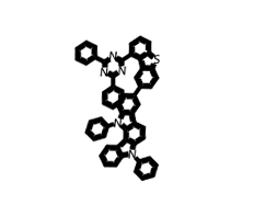 c1ccc(-c2nc(-c3ccccc3)nc(-c3cccc4sc5ccc(-c6ccc7c(c6)c6ccc8c(c9ccccc9n8-c8ccccc8)c6n7-c6ccccc6)cc5c34)n2)cc1